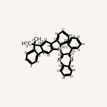 CC1(C)c2ccccc2-c2cc3c(cc21)c1ccccc1n3-c1nc2ccccc2nc1-c1ccccc1